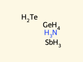 N.[GeH4].[SbH3].[TeH2]